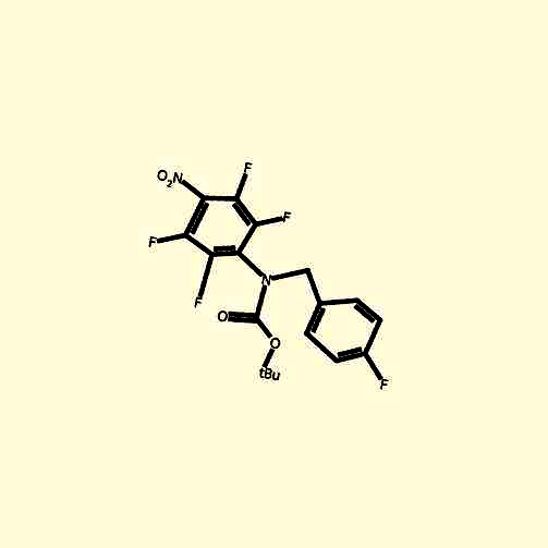 CC(C)(C)OC(=O)N(Cc1ccc(F)cc1)c1c(F)c(F)c([N+](=O)[O-])c(F)c1F